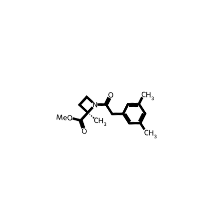 COC(=O)[C@@]1(C)CCN1C(=O)Cc1cc(C)cc(C)c1